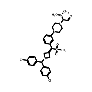 CN(C)C(C=O)N1CCN(c2cccc(C(=C3CN(C(c4ccc(Cl)cc4)c4ccc(Cl)cc4)C3)S(C)(=O)=O)c2)CC1